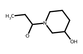 CCC([O])N1CCCC(O)C1